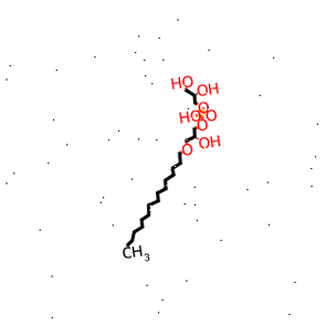 CCCCCCCCCCCCCCCCOC[C@@H](O)COP(=O)(O)OC[C@@H](O)CO